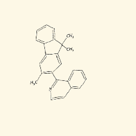 Cc1cc2c(cc1-c1nccc3ccccc13)C(C)(C)c1ccccc1-2